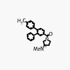 CN[C@H]1CCN(C(=O)c2ccc(-c3ccc(C)cc3)c(-c3ccccc3)c2)C1